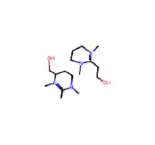 CC1=[N+](C)C(CO)CCN1C.CN1CCC[N+](C)=C1CCO